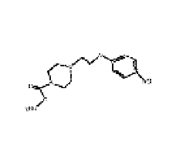 CC(C)(C)OC(=O)N1CCN(CCOc2ccc(N=O)cc2)CC1